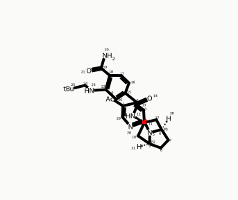 CC(=O)c1ccc(N2[C@@H]3CC[C@H]2C[C@@H](NC(=O)c2ccc(C(N)=O)c(NCC(C)(C)C)c2)C3)nc1